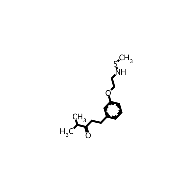 CSNCCOc1cccc(CCC(=O)C(C)C)c1